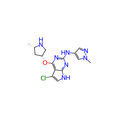 C[C@H]1C[C@@H](Oc2nc(Nc3cnn(C)c3)nc3[nH]cc(Cl)c23)CN1